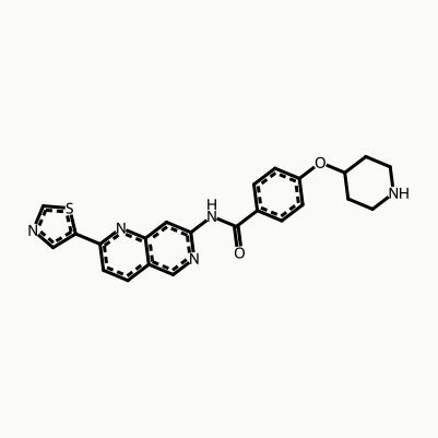 O=C(Nc1cc2nc(-c3cncs3)ccc2cn1)c1ccc(OC2CCNCC2)cc1